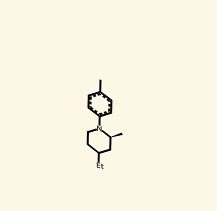 CCC1CCN(c2ccc(C)cc2)[C@@H](C)C1